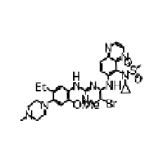 CCc1cc(Nc2ncc(Br)c(Nc3ccc4nccnc4c3N(C3CC3)S(C)(=O)=O)n2)c(OC)cc1N1CCN(C)CC1